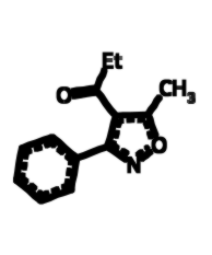 CCC(=O)c1c(-c2ccccc2)noc1C